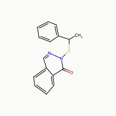 CC(Sn1ncc2ccccc2c1=O)c1ccccc1